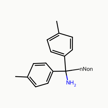 CCCCCCCCCC(N)(c1ccc(C)cc1)c1ccc(C)cc1